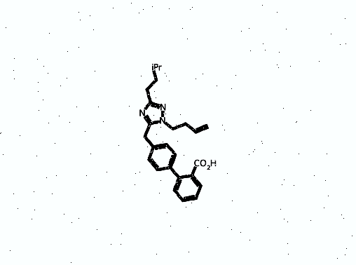 C=CCCn1nc(CCC(C)C)nc1Cc1ccc(-c2ccccc2C(=O)O)cc1